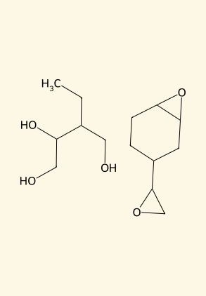 C1CC2OC2CC1C1CO1.CCC(CO)C(O)CO